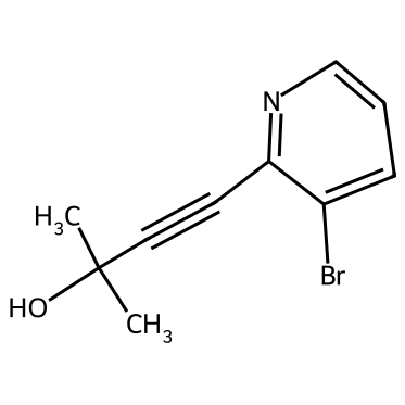 CC(C)(O)C#Cc1ncccc1Br